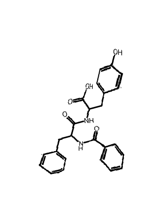 O=C(NC(Cc1[c]cccc1)C(=O)NC(Cc1[c]cc(O)cc1)C(=O)O)c1ccccc1